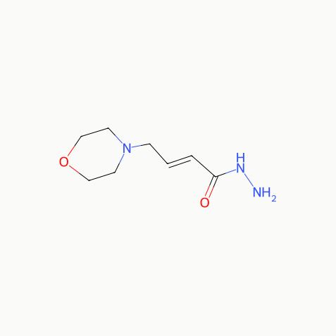 NNC(=O)/C=C/CN1CCOCC1